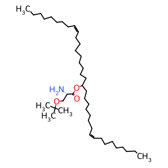 CCCCCCCC/C=C\CCCCCCCCC(CCCCCCC/C=C\CCCCCCCC)OC(=O)[C@@H](N)COC(C)(C)C